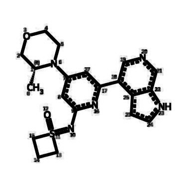 C[C@@H]1COCCN1c1cc(N=S2(=O)CCC2)nc(-c2cncc3[nH]ccc23)c1